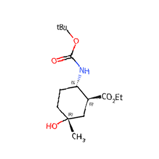 CCOC(=O)[C@H]1C[C@](C)(O)CC[C@@H]1NC(=O)OC(C)(C)C